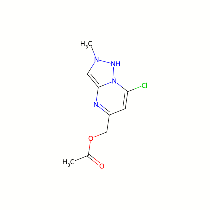 CC(=O)OCC1=NC2=CN(C)NN2C(Cl)=C1